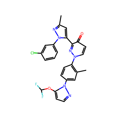 Cc1cc(-c2nn(-c3ccc(-n4nccc4OC(F)F)cc3C)ccc2=O)n(-c2cccc(Cl)c2)n1